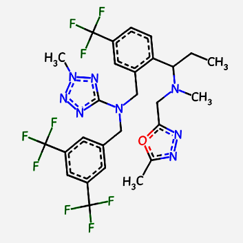 CCC(c1ccc(C(F)(F)F)cc1CN(Cc1cc(C(F)(F)F)cc(C(F)(F)F)c1)c1nnn(C)n1)N(C)Cc1nnc(C)o1